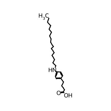 CCCCCCCCCCCCCCCCNc1ccc(CCCC(=O)O)cc1